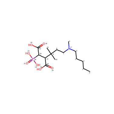 CCCCCN(C)CCC(C)(C)C(C(=O)O)C(C(=O)O)P(=O)(O)O